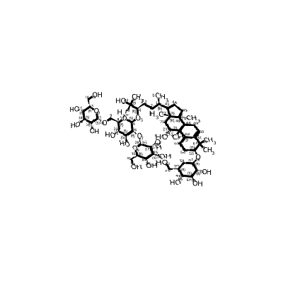 C[C@H](CC[C@@H](O[C@@H]1O[C@H](CO[C@H]2O[C@H](CO)[C@@H](O)[C@H](O)[C@H]2O)[C@@H](O)[C@H](O)[C@H]1O[C@@H]1O[C@H](CO)[C@@H](O)[C@H](O)[C@H]1O)C(C)(C)O)C1CC[C@@]2(C)C3CC=C4C(CC[C@H](O[C@@H]5C[C@H](CO)[C@@H](O)[C@H](O)[C@H]5O)C4(C)C)[C@]3(C)[C@H](O)C[C@]12C